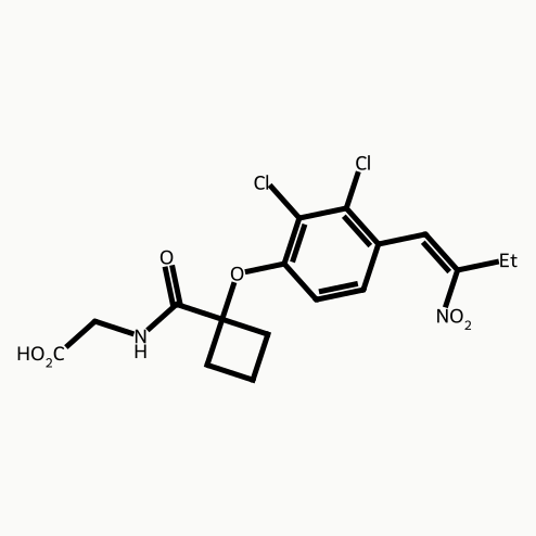 CCC(=Cc1ccc(OC2(C(=O)NCC(=O)O)CCC2)c(Cl)c1Cl)[N+](=O)[O-]